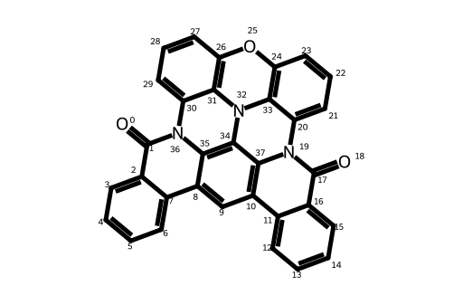 O=c1c2ccccc2c2cc3c4ccccc4c(=O)n4c5cccc6oc7cccc8c7n(c65)c(c2n18)c34